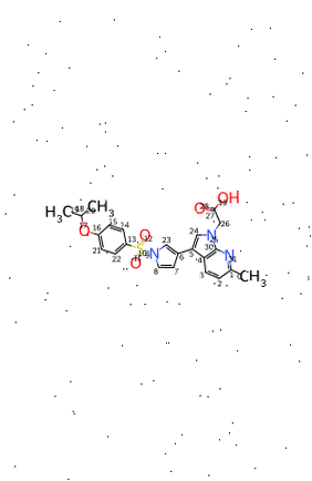 Cc1ccc2c(-c3ccn(S(=O)(=O)c4ccc(OC(C)C)cc4)c3)cn(CC(=O)O)c2n1